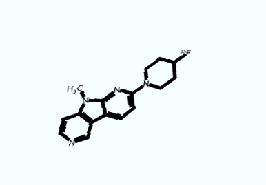 Cn1c2ccncc2c2ccc(N3CCC([18F])CC3)nc21